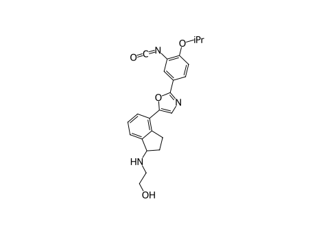 CC(C)Oc1ccc(-c2ncc(-c3cccc4c3CCC4NCCO)o2)cc1N=C=O